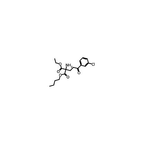 CCCCOC(=O)C(N)(CCC(=O)c1cccc(Cl)c1)C(=O)OCC